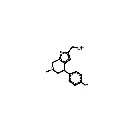 CN1Cc2sc(CO)cc2C(c2ccc(F)cc2)C1